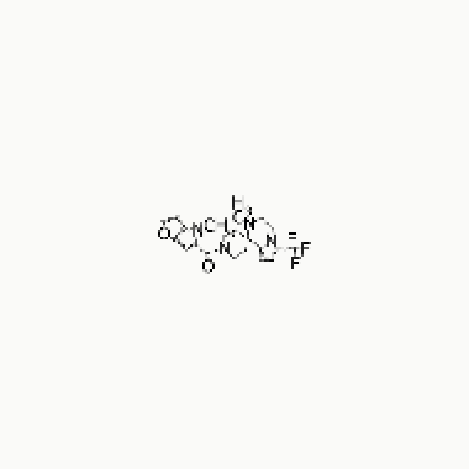 CN1CCn2c(C(F)(F)F)ccc2C12CCN(C(=O)c1cc3occc3n1C)CC2